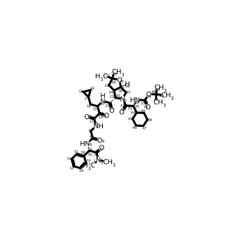 CN(C)C(=O)[C@@H](NC(=O)CNC(=O)C(=O)C(CC1CC1)NC(=O)[C@@H]1C2CC(C)(C)O[C@H]2CN1C(=O)[C@@H](NC(=O)OC(C)(C)C)C1CCCCC1)c1ccccc1